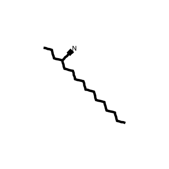 CCCCCCCCCCCCC(C#N)CCC